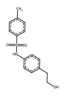 Cc1ccc(S(=O)(=O)Nc2ccc(CCO)cc2)cc1